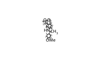 COc1ccc([C@H](C)Nc2ncc(F)c(N3CCOC3=O)n2)cc1